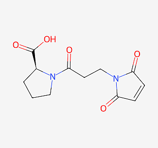 O=C(O)[C@@H]1CCCN1C(=O)CCN1C(=O)C=CC1=O